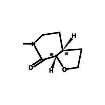 CN1CC[C@H]2CCO[C@H]2C1=O